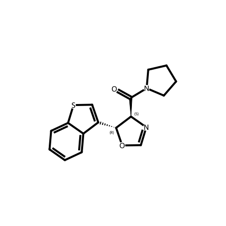 O=C([C@H]1N=CO[C@@H]1c1csc2ccccc12)N1CCCC1